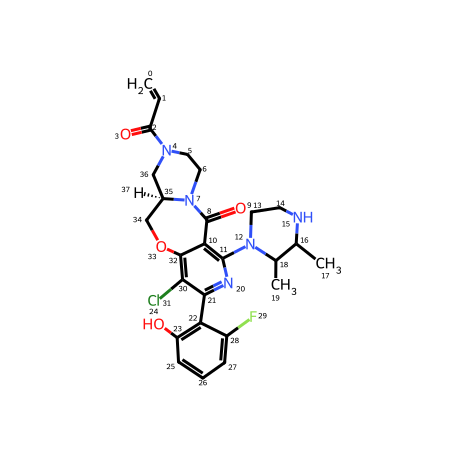 C=CC(=O)N1CCN2C(=O)c3c(N4CCNC(C)C4C)nc(-c4c(O)cccc4F)c(Cl)c3OC[C@H]2C1